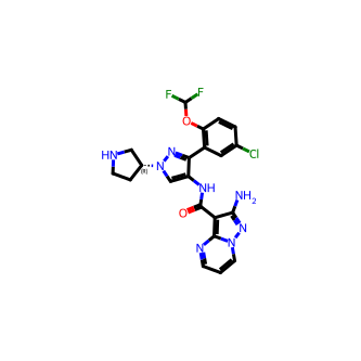 Nc1nn2cccnc2c1C(=O)Nc1cn([C@@H]2CCNC2)nc1-c1cc(Cl)ccc1OC(F)F